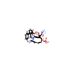 Cc1cccc(OCC(=O)O)cc(C(=O)C(N)=O)c(C)n1Cc1ccccc1-c1ccccc1